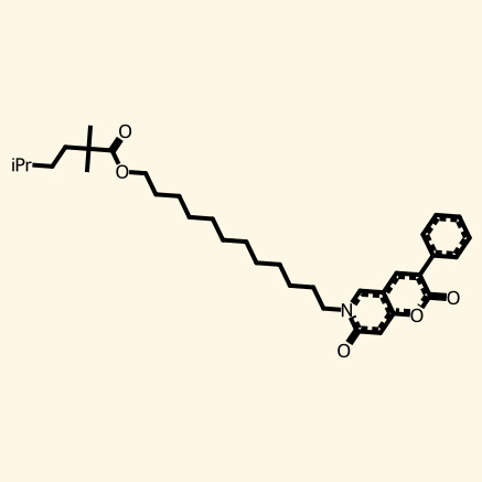 CC(C)CCC(C)(C)C(=O)OCCCCCCCCCCCCn1cc2cc(-c3ccccc3)c(=O)oc2cc1=O